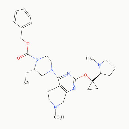 CN1CCC[C@H]1C1(Oc2nc3c(c(N4CCN(C(=O)OCc5ccccc5)[C@@H](CC#N)C4)n2)CCN(C(=O)O)C3)CC1